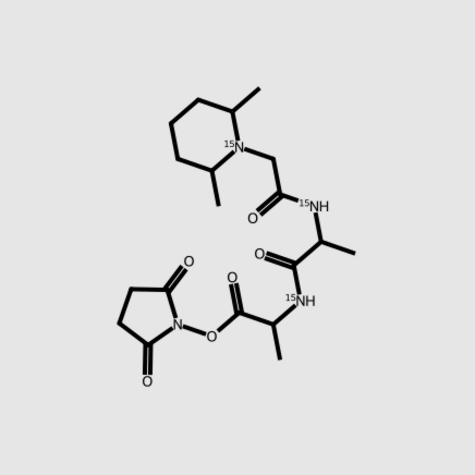 CC([15NH]C(=O)C[15N]1C(C)CCCC1C)C(=O)[15NH]C(C)C(=O)ON1C(=O)CCC1=O